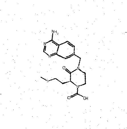 CSCC[C@H]1C(=O)N(Cc2ccc3c(N)ncnc3c2)CCN1C(=O)O